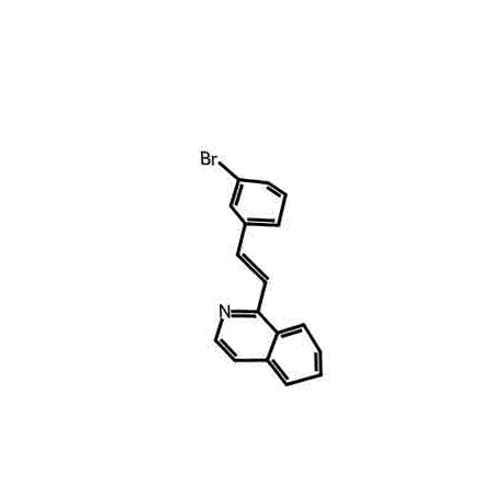 Brc1cccc(/C=C/c2nccc3ccccc23)c1